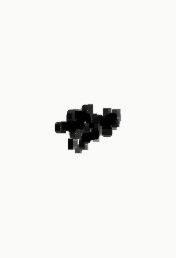 C=C[CH2][Ni+].O=C(C(Cl)(Cl)Cl)C(Cl)(Cl)Cl.O=C([O-])C(F)(F)F